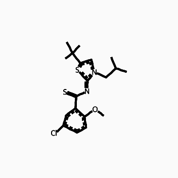 COc1ccc(Cl)cc1C(=S)N=c1sc(C(C)(C)C)cn1CC(C)C